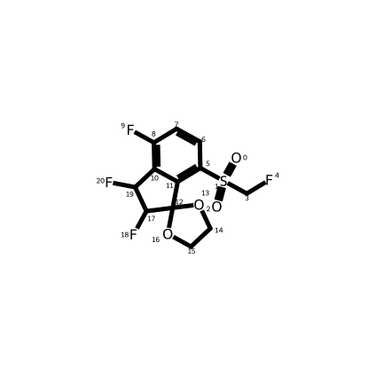 O=S(=O)(CF)c1ccc(F)c2c1C1(OCCO1)C(F)C2F